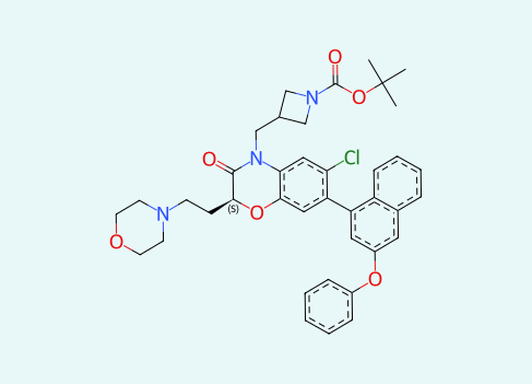 CC(C)(C)OC(=O)N1CC(CN2C(=O)[C@H](CCN3CCOCC3)Oc3cc(-c4cc(Oc5ccccc5)cc5ccccc45)c(Cl)cc32)C1